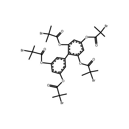 CC(C)(Br)C(=O)Oc1cc(OC(=O)C(C)(C)Br)cc(-c2c(OC(=O)C(C)(C)Br)cc(OC(=O)C(C)(C)Br)cc2OC(=O)C(C)(C)Br)c1